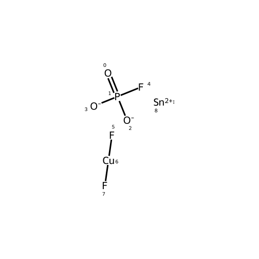 O=P([O-])([O-])F.[F][Cu][F].[Sn+2]